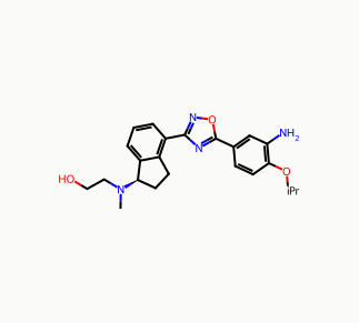 CC(C)Oc1ccc(-c2nc(-c3cccc4c3CC[C@H]4N(C)CCO)no2)cc1N